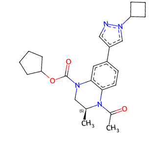 CC(=O)N1c2ccc(-c3cnn(C4CCC4)c3)cc2N(C(=O)OC2CCCC2)C[C@@H]1C